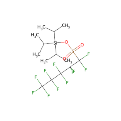 CC(C)[Si](OS(=O)(=O)C(F)(F)C(F)(F)C(F)(F)C(F)(F)C(F)(F)F)(C(C)C)C(C)C